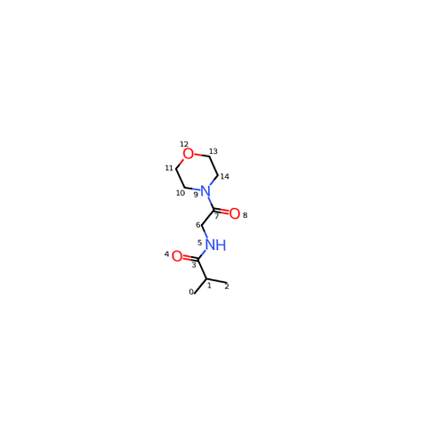 CC(C)C(=O)NCC(=O)N1CCOCC1